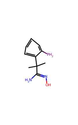 CC(C)(/C(N)=N/O)c1ccccc1P